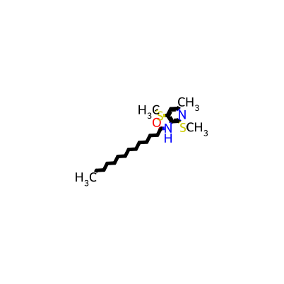 CCCCCCCCCCCCCC(=O)Nc1c(SC)cc(C)nc1SC